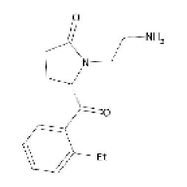 CCc1ccccc1C(=O)[C@@H]1CCC(=O)N1CCN